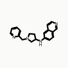 c1ccc(CN2CCC(Nc3ccc4cnccc4c3)C2)nc1